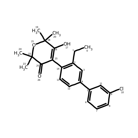 CCc1cc(-c2cccc(Cl)c2)ccc1C1=C(O)C(C)(C)OC(C)(C)C1=O